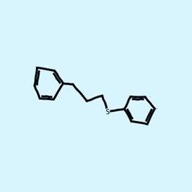 [c]1ccc(SCCCc2ccccc2)cc1